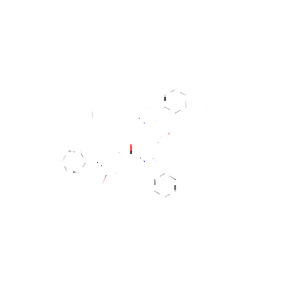 COc1cccc(S(=O)(=O)N(CC(C)C)C[C@H](O)[C@H](Cc2ccccc2)NC(=O)[C@@H]2CN(c3ccccc3)C(=O)O2)c1